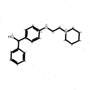 OC(c1ccccc1)c1ccc(OCCN2CCCCC2)cc1